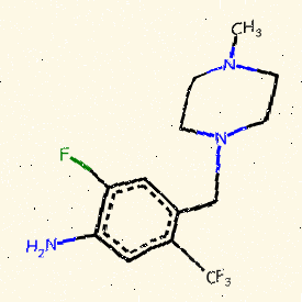 CN1CCN(Cc2cc(F)c(N)cc2C(F)(F)F)CC1